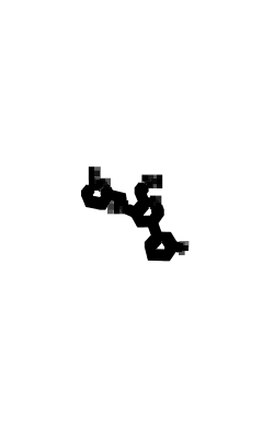 N=Cc1ncc(-c2cccc(F)c2)cc1NCC1=NNCC=C1